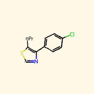 CCCc1s[c]nc1-c1ccc(Cl)cc1